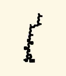 COc1cc(COC(=O)CCC(=O)OC/C=C(\C)CCC[C@H](C)CCC[C@H](C)CCCC(C)C)ccc1O